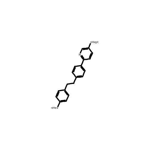 CCCCCCCc1ccc(-c2ccc(CCc3ccc(CCCCCC)cc3)cc2)nc1